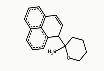 [SiH3]C1(C2C=Cc3cccc4cccc2c34)CCCCO1